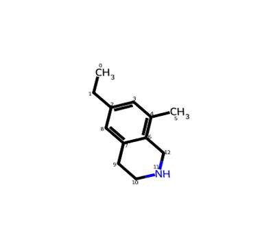 CCc1cc(C)c2c(c1)CCNC2